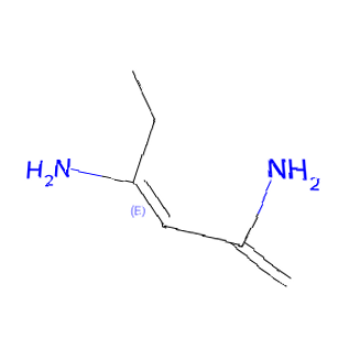 C=C(N)/C=C(/N)CC